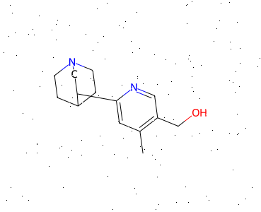 Cc1cc(C2CN3CCC2CC3)ncc1CO